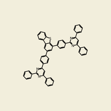 c1ccc(-c2cc(-c3ccc(-c4cc(-c5ccc(-c6nc(-c7ccccc7)cc(-c7ccccc7)n6)cc5)c5sc6ccccc6c5c4)cc3)nc(-c3ccccc3)n2)cc1